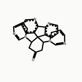 O=C1CC(N2C=NC=CC2)C2(c3cccnc3-c3ncccc32)C(N2C=NC=CC2)C1